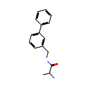 CCC(C)C(C)C(=O)NCc1cccc(-c2ccccc2)c1